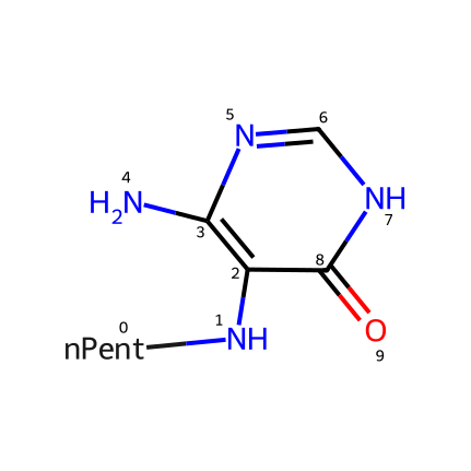 CCCCCNc1c(N)nc[nH]c1=O